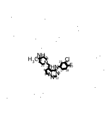 CC1(N)CCN(Cc2ccn3ncnc(Nc4ccc(F)c(Cl)c4)c23)CC1